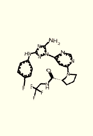 Nc1nc(Nc2ccc(F)cc2)nn1-c1cc(N2CCC[C@@H]2C(=O)NCC(F)(F)F)ncn1